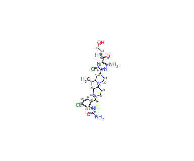 CC[C@H]1CN(c2nc(N)c(C(=O)NCCO)nc2Cl)CCN1C1CCN(Cc2ccc(Cl)cc2NC(N)=O)CC1